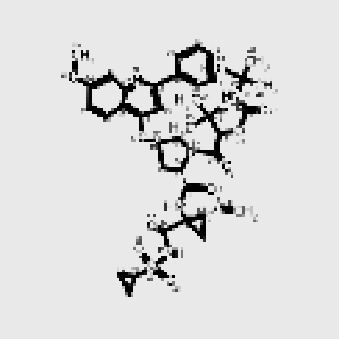 C=C[C@@H]1C[C@]1(NC(=O)[C@@H]1C[C@@H](Oc2cc(-c3ccccc3)nc3cc(OC)ccc23)CN1C(=O)C(OC(=O)NC(C)(C)C)C(C)(C)C)C(=O)NS(=O)(=O)C1CC1